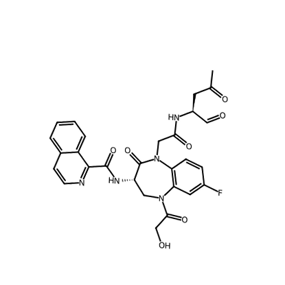 CC(=O)C[C@@H](C=O)NC(=O)CN1C(=O)[C@@H](NC(=O)c2nccc3ccccc23)CN(C(=O)CO)c2cc(F)ccc21